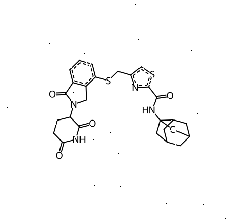 O=C1CCC(N2Cc3c(SCc4csc(C(=O)NC56CC7CC(CC5C7)C6)n4)cccc3C2=O)C(=O)N1